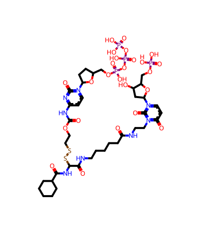 O=C(CCCCCNC(=O)C(NC(=O)C1CCCCC1)SSCCOC(=O)Nc1ccn(C2CCC(COP(=O)(O)OP(=O)(O)OP(=O)(O)O)O2)c(=O)n1)NCCn1c(=O)ccn(C2CC(O)C(COP(=O)(O)O)O2)c1=O